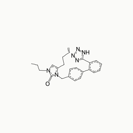 C=CCCc1cn(CCC)c(=O)n1Cc1ccc(-c2ccccc2-c2nnn[nH]2)cc1